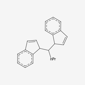 CCCC(C1C=Cc2ccccc21)C1C=Cc2ccccc21